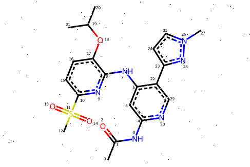 CC(=O)Nc1cc(Nc2nc(S(C)(=O)=O)ccc2OC(C)C)c(-c2ccn(C)n2)cn1